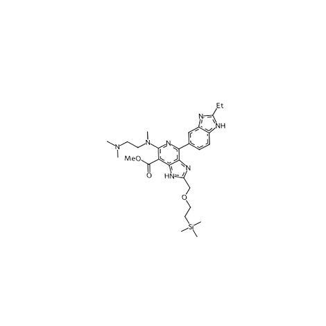 CCc1nc2cc(-c3nc(N(C)CCN(C)C)c(C(=O)OC)c4[nH]c(COCC[Si](C)(C)C)nc34)ccc2[nH]1